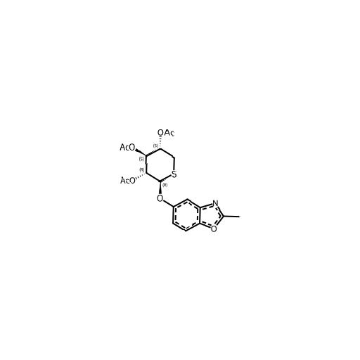 CC(=O)O[C@@H]1[C@@H](OC(C)=O)[C@H](OC(C)=O)CS[C@H]1Oc1ccc2oc(C)nc2c1